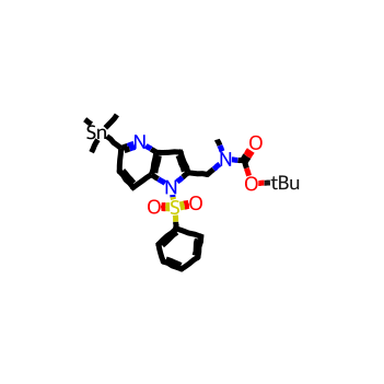 CN(Cc1cc2n[c]([Sn]([CH3])([CH3])[CH3])ccc2n1S(=O)(=O)c1ccccc1)C(=O)OC(C)(C)C